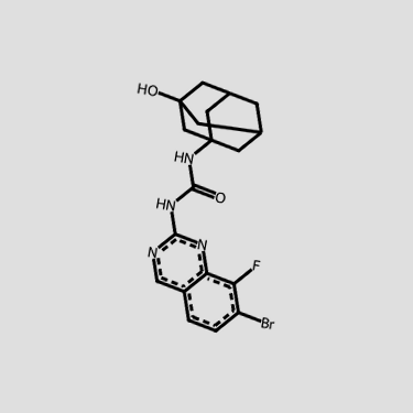 O=C(Nc1ncc2ccc(Br)c(F)c2n1)NC12CC3CC(CC(O)(C3)C1)C2